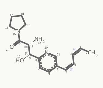 C/C=C\C=C/c1ccc([C@H](O)[C@@H](N)C(=O)N2CCCC2)nc1